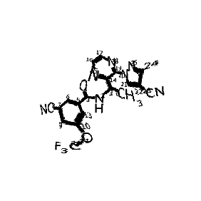 CC(NC(=O)c1cc(C#N)cc(OC(F)(F)F)c1)c1nccnc1-n1cc(C#N)cn1